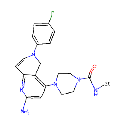 CCNC(=O)N1CCN(c2cc(N)nc3c2CN(c2ccc(F)cc2)C=C3)CC1